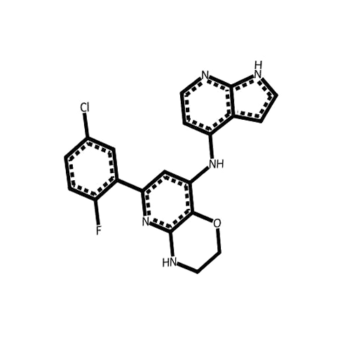 Fc1ccc(Cl)cc1-c1cc(Nc2ccnc3[nH]ccc23)c2c(n1)NCCO2